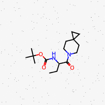 CCC(NC(=O)OC(C)(C)C)C(=O)N1CCC2(CC1)CC2